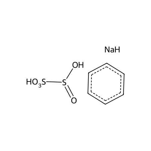 O=S(O)S(=O)(=O)O.[NaH].c1ccccc1